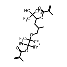 C=C(C)C(=O)OC(CC(C)COC(C(F)(F)F)(C(F)(F)F)C(OC(=O)C(=C)C)(C(C)C)C(C)C)C(O)(C(F)(F)F)C(F)(F)F